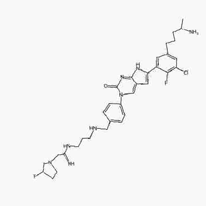 CC(N)CCCc1cc(Cl)c(F)c(-c2cc3cn(-c4ccc(CNCCCNC(=N)CN5CCC(F)C5)cc4)c(=O)nc3[nH]2)c1